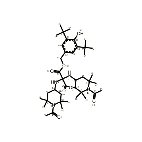 CC(=O)N1C(C)(C)CC(NC(NC2CC(C)(C)N(C(C)=O)C(C)(C)C2)(C(=O)O)C(=O)OCc2cc(C(C)(C)C)c(O)c(C(C)(C)C)c2)CC1(C)C